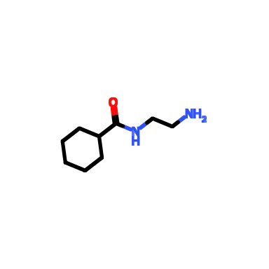 NCCNC(=O)C1CCCCC1